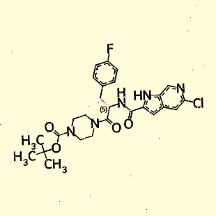 CC(C)(C)OC(=O)N1CCN(C(=O)[C@H](Cc2ccc(F)cc2)NC(=O)c2cc3cc(Cl)ncc3[nH]2)CC1